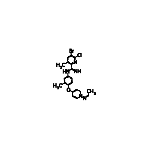 C/C=N\N1C=CC(Oc2ccc(NC(=N)c3nc(Cl)c(Br)cc3C)cc2C)=CC1